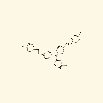 Cc1ccc(C=Cc2ccc(N(c3ccc(C=Cc4ccc(C)cc4)cc3)c3ccc(C)c(C)c3)cc2)cc1